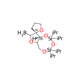 BC1OC2CO[Si](C(C)C)(C(C)C)O[Si](C(C)C)(C(C)C)O[C@H]2[C@]12CCCO2